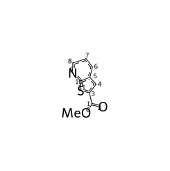 COC(=O)c1cc2cccnc2s1